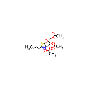 CCCCC1=NC2C(O[C@H](COC(C)=O)[C@@H](OC(C)=O)[C@@H]2OC(C)=O)S1